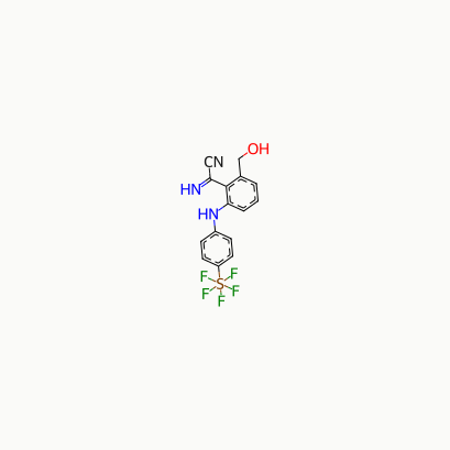 N#CC(=N)c1c(CO)cccc1Nc1ccc(S(F)(F)(F)(F)F)cc1